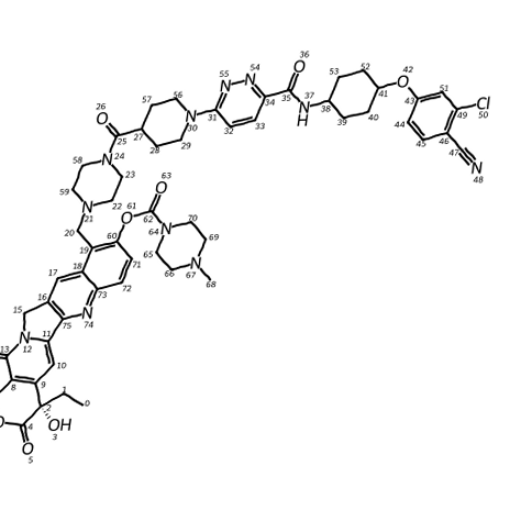 CC[C@@]1(O)C(=O)OCc2c1cc1n(c2=O)Cc2cc3c(CN4CCN(C(=O)C5CCN(c6ccc(C(=O)NC7CCC(Oc8ccc(C#N)c(Cl)c8)CC7)nn6)CC5)CC4)c(OC(=O)N4CCN(C)CC4)ccc3nc2-1